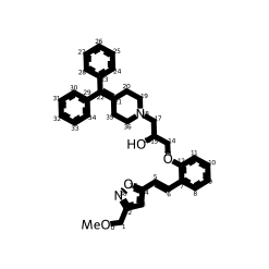 COCc1cc(C=Cc2ccccc2OCC(O)CN2CCC(=C(c3ccccc3)c3ccccc3)CC2)on1